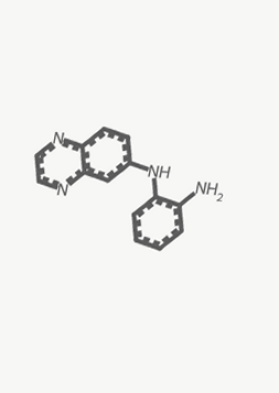 Nc1ccccc1Nc1ccc2nccnc2c1